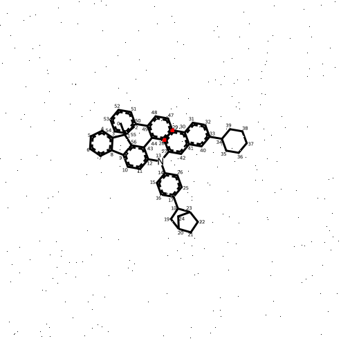 CC1(C)c2ccccc2-c2ccc(N(c3ccc(C4CC5CCC4C5)cc3)c3ccc4ccc(C5CCCCC5)cc4c3)c(-c3ccccc3-c3ccccc3)c21